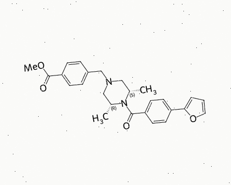 COC(=O)c1ccc(CN2C[C@@H](C)N(C(=O)c3ccc(-c4ccco4)cc3)[C@@H](C)C2)cc1